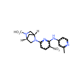 Cc1cc(Nc2nc(N3C[C@H]4C[C@@H]3CN4C(=O)O)ccc2[N+](=O)[O-])ccn1